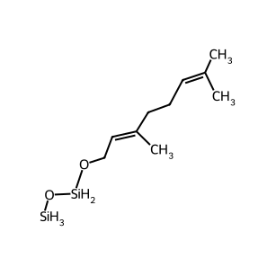 CC(C)=CCC/C(C)=C/CO[SiH2]O[SiH3]